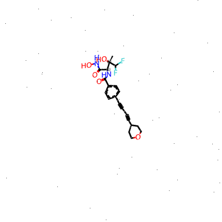 C[C@@](O)(C(F)F)[C@H](NC(=O)c1ccc(C#CC#CC2CCOCC2)cc1)C(=O)NO